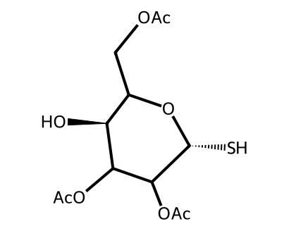 CC(=O)OCC1O[C@H](S)C(OC(C)=O)C(OC(C)=O)[C@H]1O